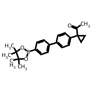 CC(=O)C1(c2ccc(-c3ccc(B4OC(C)(C)C(C)(C)O4)cc3)cc2)CC1